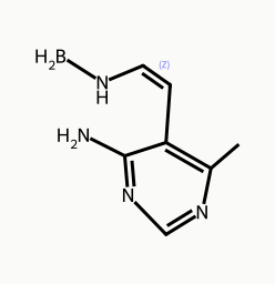 BN/C=C\c1c(C)ncnc1N